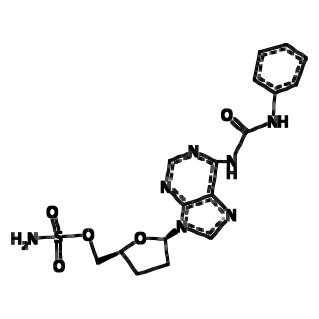 NS(=O)(=O)OC[C@@H]1CC[C@H](n2cnc3c(NC(=O)Nc4ccccc4)ncnc32)O1